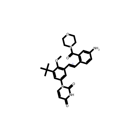 COc1c(/C=C/c2ccc(N)cc2C(=O)N2CCOCC2)cc(-n2ccc(=O)[nH]c2=O)cc1C(C)(C)C